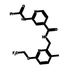 Cc1ccc(OCC(F)(F)F)nc1CNC(=O)c1ccnc(NC(=O)C(C)C)c1